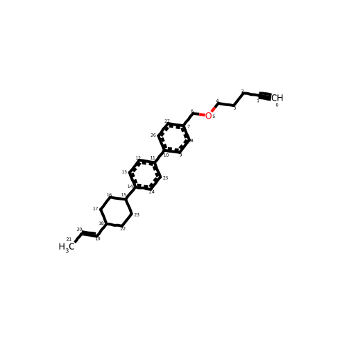 C#CCCCOCc1ccc(-c2ccc(C3CCC(C=CC)CC3)cc2)cc1